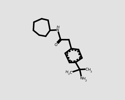 CC(C)(N)c1ccc(CC(=O)NC2CCCCCC2)cc1